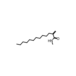 C=C(CCCCCCCCCCC)C(=O)NC